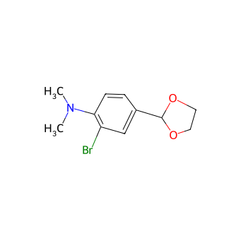 CN(C)c1ccc(C2OCCO2)cc1Br